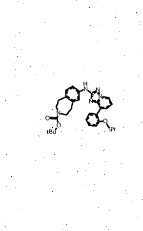 CC(C)Oc1ccccc1-c1cccn2nc(Nc3ccc4c(c3)CCN(C(=O)OC(C)(C)C)CC4)nc12